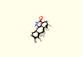 O=C1N=Nc2c3ccccc3cc3cccc1c23